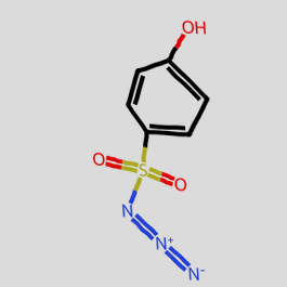 [N-]=[N+]=NS(=O)(=O)c1ccc(O)cc1